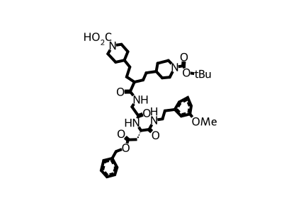 COc1cccc(CCNC(=O)[C@H](CC(=O)OCc2ccccc2)NC(=O)CNC(=O)C(CCC2CCN(C(=O)O)CC2)CCC2CCN(C(=O)OC(C)(C)C)CC2)c1